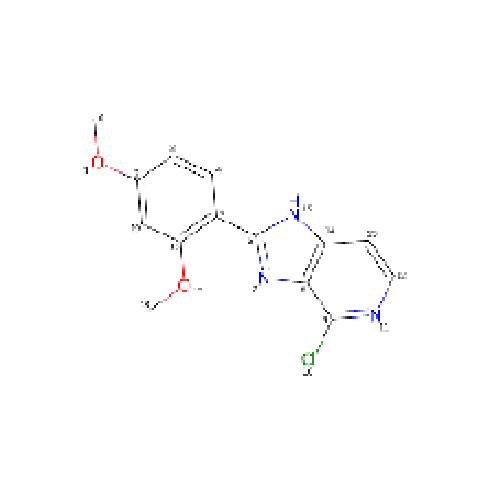 COc1ccc(-c2nc3c(Cl)nccc3[nH]2)c(OC)c1